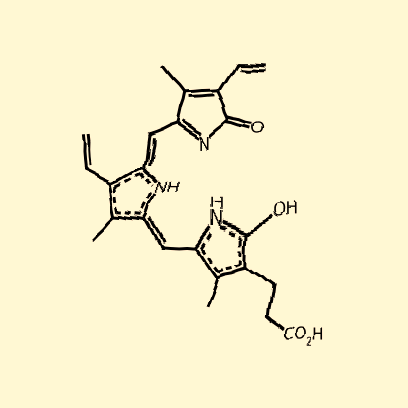 C=CC1=C(C)C(/C=c2\[nH]/c(=C\c3[nH]c(O)c(CCC(=O)O)c3C)c(C)c2C=C)=NC1=O